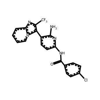 Nc1nc(NC(=O)c2ccc(Cl)cc2)ccc1-c1c(C(F)(F)F)nc2ccccn12